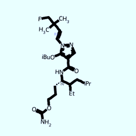 CCC(CC(C)C)[C@H](CCCOC(N)=O)NC(=O)c1cnn(/C=C/C(C)(C)CF)c1OCC(C)C